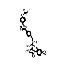 COc1ccc(N2C(=O)CN/C2=N\C(O)NCCc2ccc(-c3ncn(-c4ccc(OC(F)(F)F)cc4)n3)cc2)c(C)c1